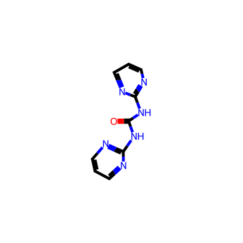 O=C(Nc1ncccn1)Nc1ncccn1